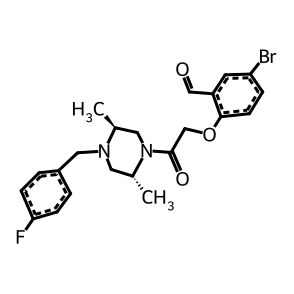 C[C@@H]1CN(Cc2ccc(F)cc2)[C@@H](C)CN1C(=O)COc1ccc(Br)cc1C=O